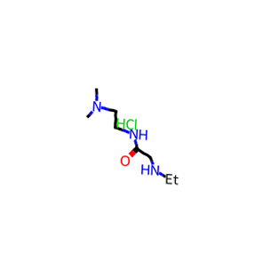 CCNCC(=O)NCCN(C)C.Cl